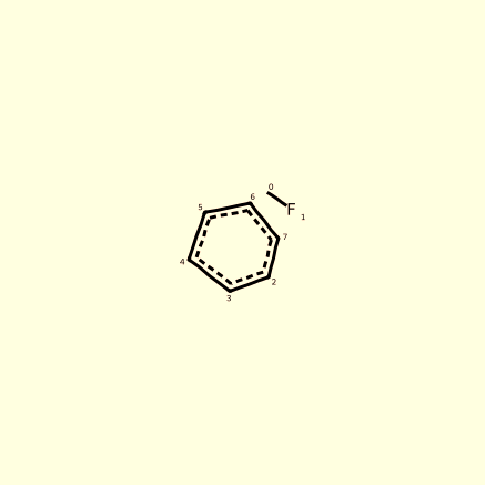 CF.c1ccccc1